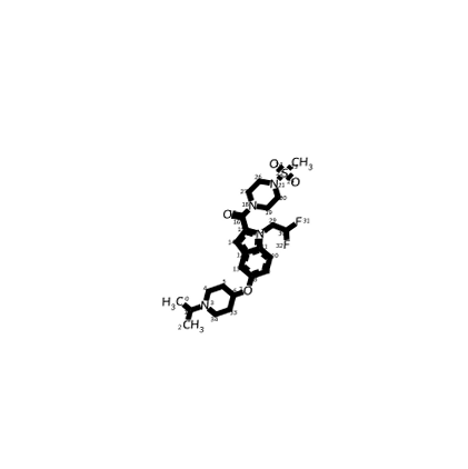 CC(C)N1CCC(Oc2ccc3c(c2)cc(C(=O)N2CCN(S(C)(=O)=O)CC2)n3CC(F)F)CC1